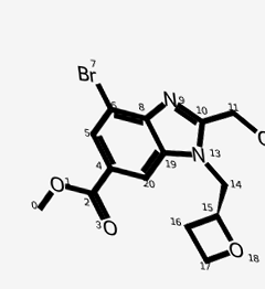 COC(=O)c1cc(Br)c2nc(CCl)n(C[C@@H]3CCO3)c2c1